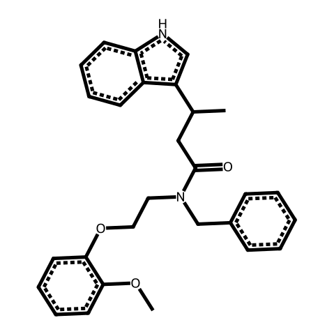 COc1ccccc1OCCN(Cc1ccccc1)C(=O)CC(C)c1c[nH]c2ccccc12